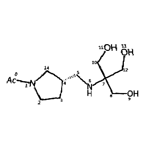 CC(=O)N1CC[C@@H](CNC(CO)(CO)CO)C1